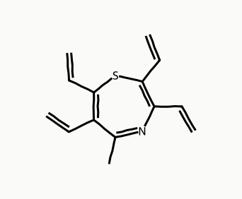 C=CC1=C(C=C)SC(C=C)=C(C=C)C(C)=N1